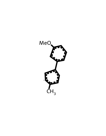 COc1cccc(-c2c[c]c(C)cc2)c1